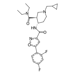 CCN(CC)C(=O)[C@H]1CN(CC2CC2)CC[C@@H]1NC(=O)c1cc(-c2ccc(F)cc2F)on1